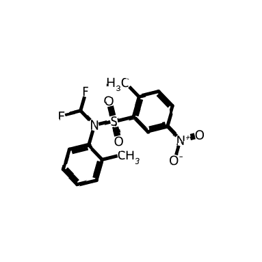 Cc1ccccc1N(C(F)F)S(=O)(=O)c1cc([N+](=O)[O-])ccc1C